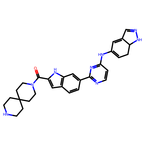 O=C(c1cc2ccc(-c3nccc(NC4=CCC5NN=CC5=C4)n3)cc2[nH]1)N1CCC2(CCNCC2)CC1